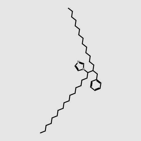 CCCCCCCCCCCCCCCCC(C(CCCCCCCCCCCCCC)Cc1ccccc1)n1ccnc1